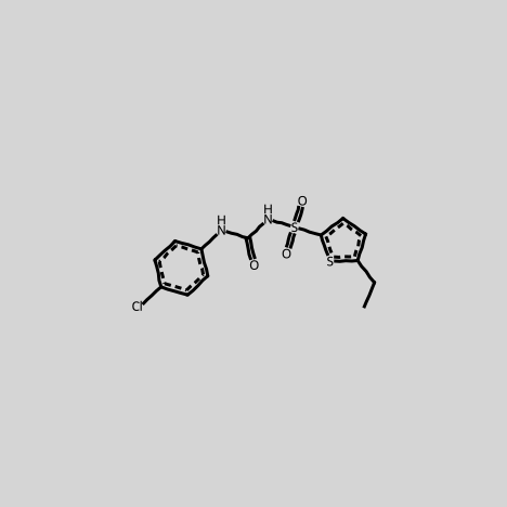 CCc1ccc(S(=O)(=O)NC(=O)Nc2ccc(Cl)cc2)s1